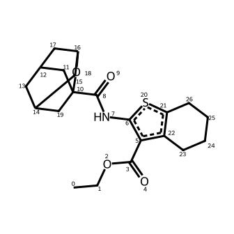 CCOC(=O)c1c(NC(=O)C23CC4CC(CC(C4)O2)C3)sc2c1CCCC2